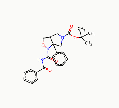 CC(C)(C)OC(=O)N1CC2CON(C(=O)NC(=O)c3ccccc3)C2(c2ccccc2)C1